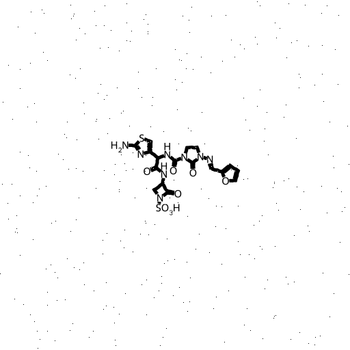 Nc1nc(C(NC(=O)N2CCN(N=Cc3ccco3)C2=O)C(=O)NC2CN(S(=O)(=O)O)C2=O)cs1